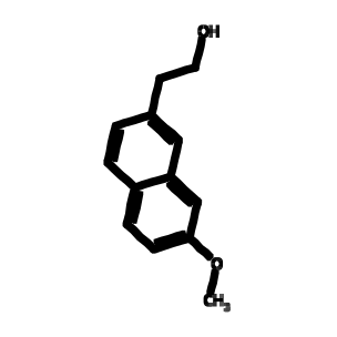 COc1ccc2ccc(CCO)cc2c1